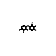 Fc1ccc([N]c2ccc(F)c(F)c2F)c(F)c1F